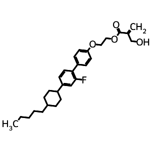 C=C(CO)C(=O)OCCOc1ccc(-c2ccc(C3CCC(CCCCC)CC3)cc2F)cc1